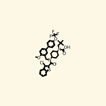 COc1ccc(-c2ccc(OC(F)(F)F)cc2)cc1CN(C(=O)c1sc2ccccc2c1Cl)C1CCC(N(CC(C)(C)C)C(=O)O)CC1